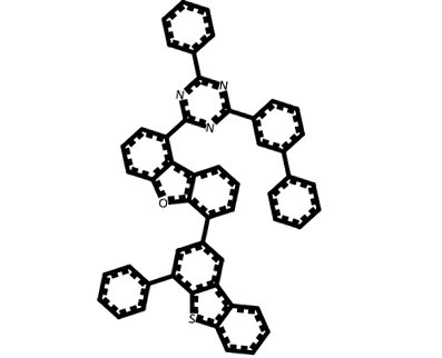 c1ccc(-c2cccc(-c3nc(-c4ccccc4)nc(-c4cccc5oc6c(-c7cc(-c8ccccc8)c8sc9ccccc9c8c7)cccc6c45)n3)c2)cc1